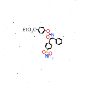 CCOC(=O)c1ccc(Oc2nc(-c3ccccc3)c(-c3ccc(S(N)(=O)=O)cc3)o2)cc1